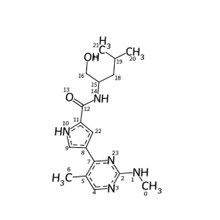 CNc1ncc(C)c(-c2c[nH]c(C(=O)NC(CO)CC(C)C)c2)n1